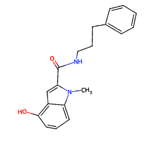 Cn1c(C(=O)NCCCc2ccccc2)cc2c(O)cccc21